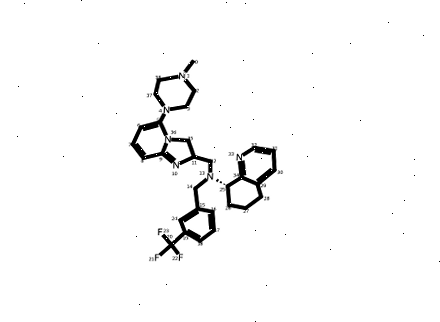 CN1CCN(C2=CC=CC3=NC(CN(Cc4cccc(C(F)(F)F)c4)[C@H]4CCCc5cccnc54)CN23)CC1